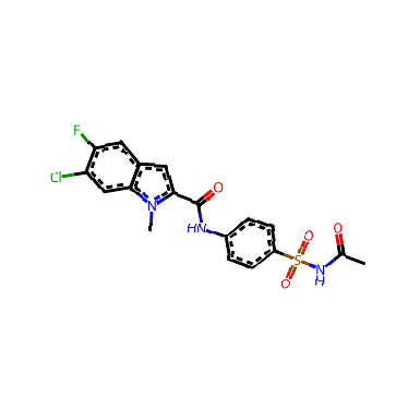 CC(=O)NS(=O)(=O)c1ccc(NC(=O)c2cc3cc(F)c(Cl)cc3n2C)cc1